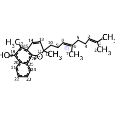 CC(C)=CCC/C(C)=C/CCC1(C)C=Cc2c(C)c(O)c3ccccc3c2O1